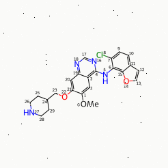 COc1cc2c(Nc3c(Cl)ccc4ccoc34)ncnc2cc1OCC1CCNCC1